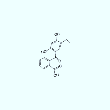 CCc1cc(C(=O)c2ccccc2C(=O)O)c(O)cc1O